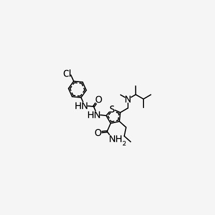 CCCc1c(CN(C)C(C)C(C)C)sc(NC(=O)Nc2ccc(Cl)cc2)c1C(N)=O